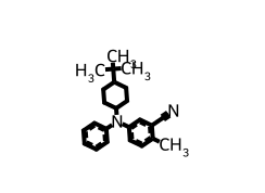 Cc1ccc(N(c2ccccc2)C2CCC(C(C)(C)C)CC2)cc1C#N